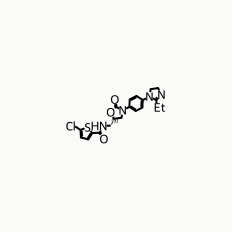 CCC1=NCCN1c1ccc(N2C[C@H](CNC(=O)c3ccc(Cl)s3)OC2=O)cc1